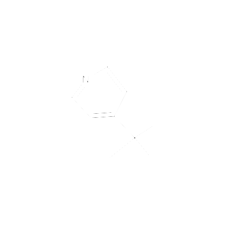 CC(C)(C)C1=CC=[N+]C=C1